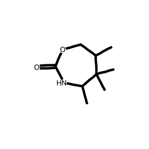 CC1COC(=O)NC(C)C1(C)C